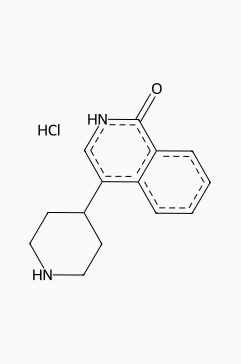 Cl.O=c1[nH]cc(C2CCNCC2)c2ccccc12